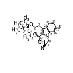 CC(C)(C)[Si](C)(C)OCCc1c(C(=O)O)n(CC#N)c2cc(F)ccc12